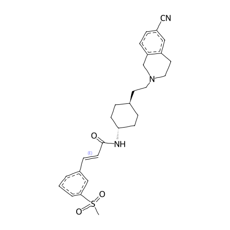 CS(=O)(=O)c1cccc(/C=C/C(=O)N[C@H]2CC[C@H](CCN3CCc4cc(C#N)ccc4C3)CC2)c1